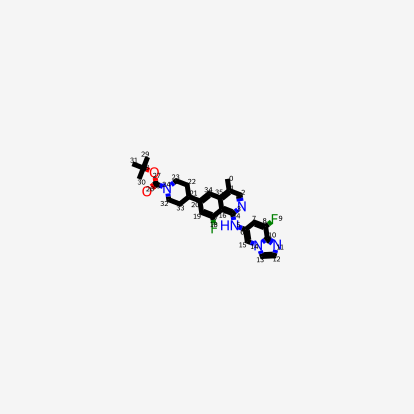 Cc1cnc(Nc2cc(F)c3nccn3c2)c2c(F)cc(C3CCN(C(=O)OC(C)(C)C)CC3)cc12